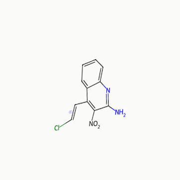 Nc1nc2ccccc2c(/C=C/Cl)c1[N+](=O)[O-]